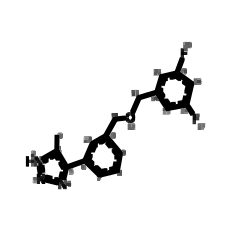 Cc1[nH]nnc1-c1cccc(COCc2cc(F)cc(F)c2)c1